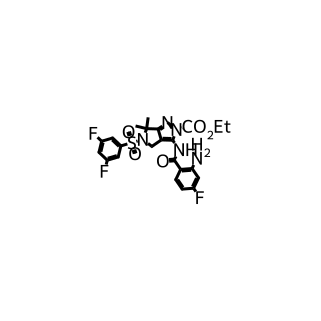 CCOC(=O)n1nc2c(c1NC(=O)c1ccc(F)cc1N)CN(S(=O)(=O)c1cc(F)cc(F)c1)C2(C)C